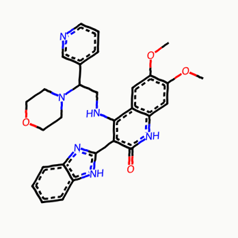 COc1cc2[nH]c(=O)c(-c3nc4ccccc4[nH]3)c(NCC(c3cccnc3)N3CCOCC3)c2cc1OC